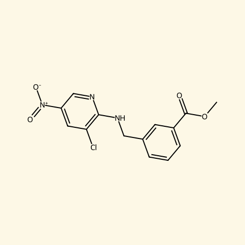 COC(=O)c1cccc(CNc2ncc([N+](=O)[O-])cc2Cl)c1